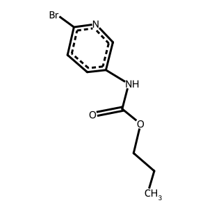 CCCOC(=O)Nc1ccc(Br)nc1